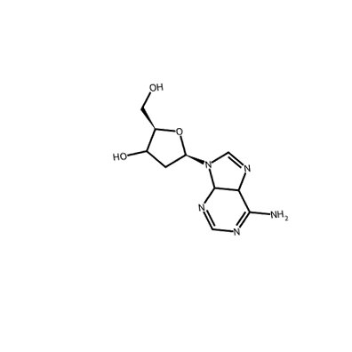 NC1=NC=NC2C1N=CN2[C@H]1CC(O)[C@@H](CO)O1